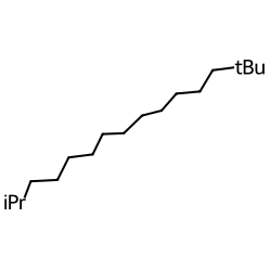 CC(C)CCCCCCCCCCCC(C)(C)C